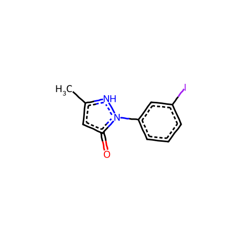 Cc1cc(=O)n(-c2cccc(I)c2)[nH]1